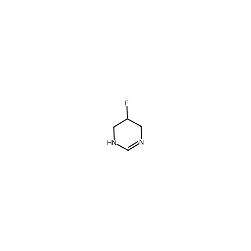 FC1CN=CNC1